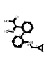 O=C(O)/C(=N\O)c1ccccc1-c1ccccc1NCC1CC1